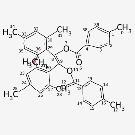 Cc1ccc(C(=O)OC(=C(OC(=O)c2ccc(C)cc2)c2c(C)cc(C)cc2C)c2c(C)cc(C)cc2C)cc1